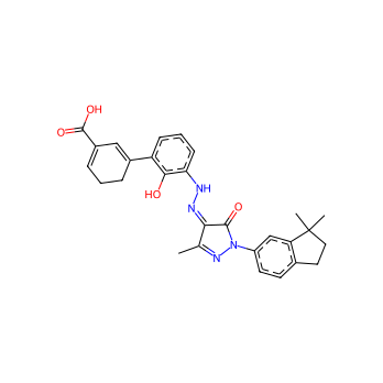 CC1=NN(c2ccc3c(c2)C(C)(C)CC3)C(=O)/C1=N\Nc1cccc(C2=CC(C(=O)O)=CCC2)c1O